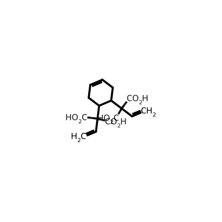 C=CC(C(=O)O)(C(=O)O)C1CC=CCC1C(C=C)(C(=O)O)C(=O)O